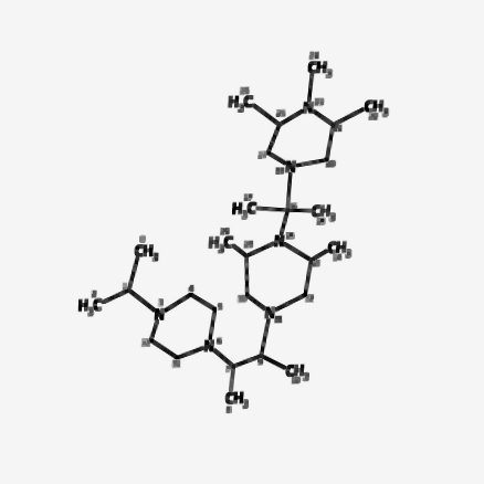 CC(C)N1CCN(C(C)C(C)N2CC(C)N(C(C)(C)N3CC(C)N(C)C(C)C3)C(C)C2)CC1